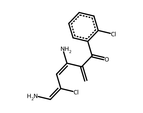 C=C(C(=O)c1ccccc1Cl)/C(N)=C\C(Cl)=C/N